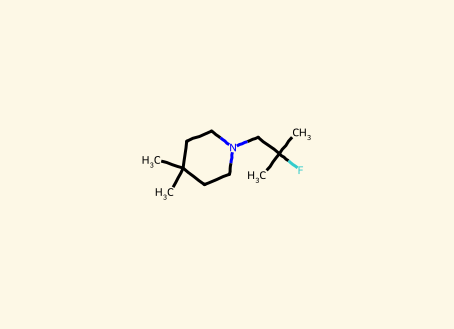 CC(C)(F)CN1CCC(C)(C)CC1